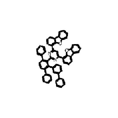 c1ccc(-c2cccc(-c3c(-c4ccccc4)ccc(-c4ccccc4)c3-c3nc(-c4cccc5c4oc4ccccc45)cc(-c4cccc5c4oc4ccccc45)n3)c2)cc1